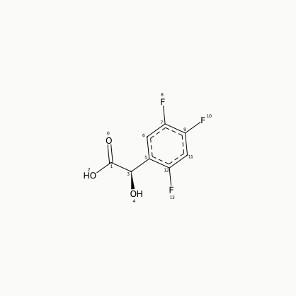 O=C(O)[C@H](O)c1cc(F)c(F)cc1F